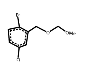 COCOCc1cc(Cl)ccc1Br